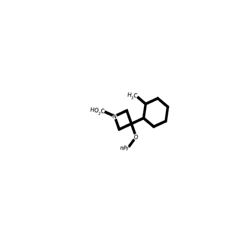 CCCOC1(C2CCCCC2C)CN(C(=O)O)C1